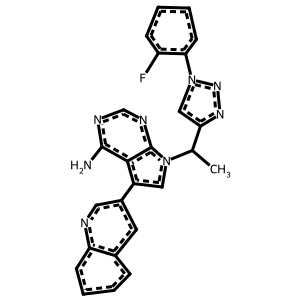 CC(c1cn(-c2ccccc2F)nn1)n1cc(-c2cnc3ccccc3c2)c2c(N)ncnc21